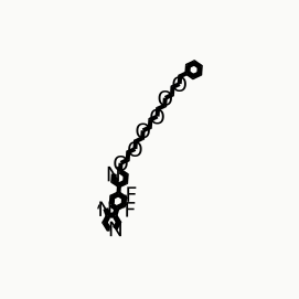 Cn1c2ccncc2c2c(F)c(F)c(-c3ccc(OCCOCCOCCOCCOCCOCc4ccccc4)nc3)cc21